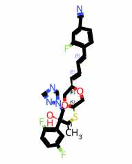 C[C@@H](S[C@H]1CO[C@H](/C=C/C=C/c2ccc(C#N)cc2F)CO1)[C@](O)(Cn1cncn1)c1cc(F)ccc1F